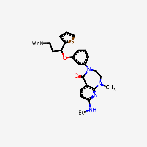 CCNc1ccc2c(n1)N(C)CCN(c1cccc(OC(CCNC)c3cccs3)c1)C2=O